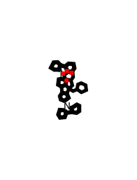 c1ccc2c(c1)c1ccccc1n2-c1ccc2c(c1)C(CC1CCCCC1)(CC1CCCCC1)c1cc(-n3c4ccccc4c4ccccc43)ccc1-2